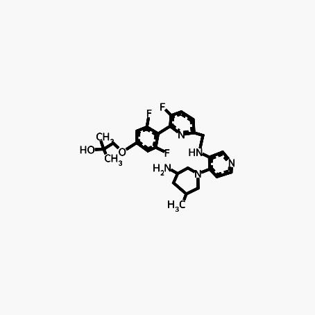 CC1CC(N)CN(c2ccncc2NCc2ccc(F)c(-c3c(F)cc(OCC(C)(C)O)cc3F)n2)C1